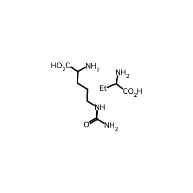 CCC(N)C(=O)O.NC(=O)NCCCC(N)C(=O)O